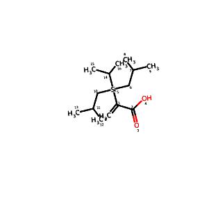 C=C(C(=O)O)[Si](CC(C)C)(CC(C)C)C(C)C